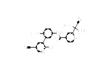 Cc1ccc(NC(=O)c2ccnc(C(C)(C)C#N)c2)cc1-c1cc(C#N)cnc1Cl